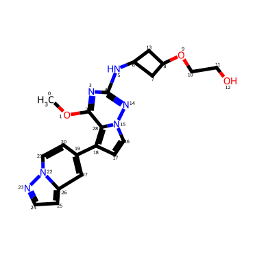 COc1nc(NC2CC(OCCO)C2)nn2ccc(-c3ccn4nccc4c3)c12